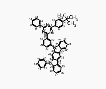 CC(C)(C)c1ccc(-c2nc(-c3ccccc3)nc(-c3cccc(-n4c5ccccc5c5cc6c7ccccc7n(-c7ccccc7)c6cc54)c3)n2)cc1